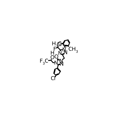 Cc1cccc(C)c1-n1nc(Cn2nc(-c3ccc(Cl)cc3)n(CC(O)C(F)(F)F)c2=O)nc1C(C)F